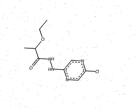 CCOC(C)C(=O)NNc1cnc(Cl)cn1